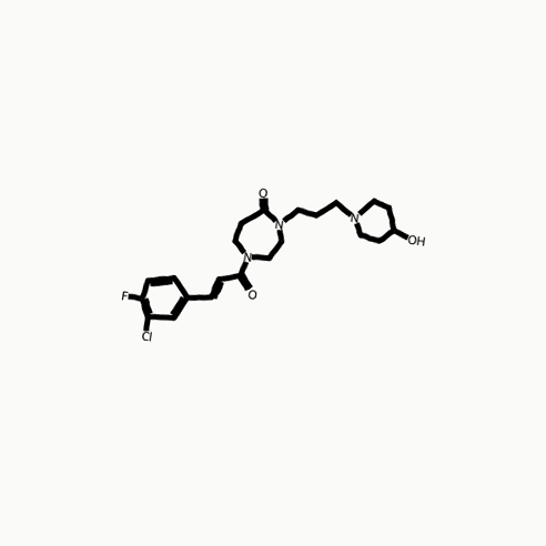 O=C(C=Cc1ccc(F)c(Cl)c1)N1CCC(=O)N(CCCN2CCC(O)CC2)CC1